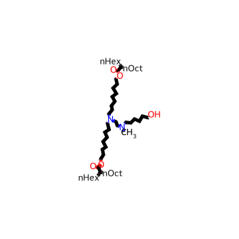 CCCCCCCCC(CCCCCC)C(=O)OCCCCCCCCCN(CCCCCCCCCOC(=O)C(CCCCCC)CCCCCCCC)CCN(C)CCCCCCO